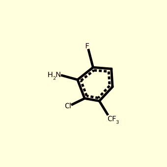 Nc1c(F)ccc(C(F)(F)F)c1Cl